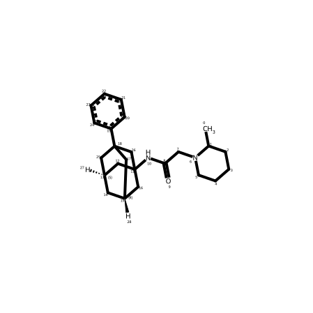 CC1CCCCN1CC(=O)NC12C[C@H]3C[C@@H](C1)CC(c1ccccc1)(C3)C2